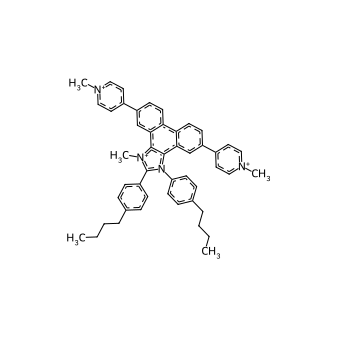 CCCCc1ccc(-c2n(-c3ccc(CCCC)cc3)c3c4cc(-c5cc[n+](C)cc5)ccc4c4ccc(-c5cc[n+](C)cc5)cc4c3[n+]2C)cc1